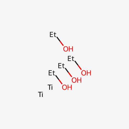 CCO.CCO.CCO.CCO.[Ti].[Ti]